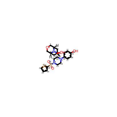 CC1(O)C[C@H]2COC[C@@H](C1)N2C[C@H]1CN(S(=O)(=O)c2cccs2)CCN1c1ccc(O)cc1